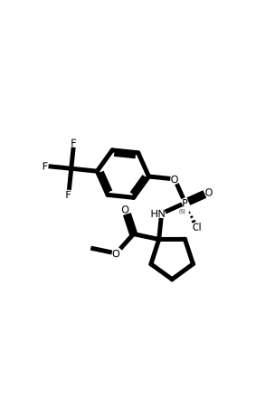 COC(=O)C1(N[P@@](=O)(Cl)Oc2ccc(C(F)(F)F)cc2)CCCC1